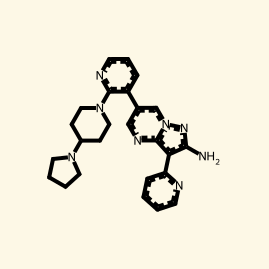 Nc1nn2cc(-c3cccnc3N3CCC(N4CCCC4)CC3)cnc2c1-c1ccccn1